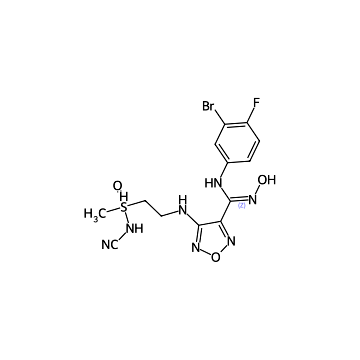 C[SH](=O)(CCNc1nonc1/C(=N/O)Nc1ccc(F)c(Br)c1)NC#N